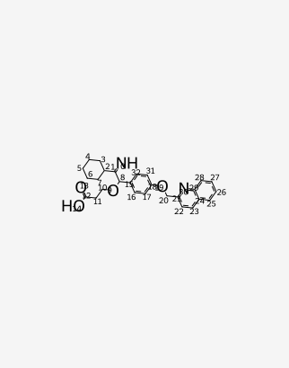 N=C(C1CCCCC1)C(OCCC(=O)O)c1ccc(OCc2ccc3ccccc3n2)cc1